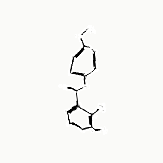 O=C(Nc1ccc(SC(F)(F)F)cc1)c1cccc(Cl)c1O